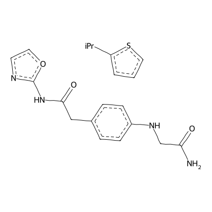 CC(C)c1cccs1.NC(=O)CNc1ccc(CC(=O)Nc2ncco2)cc1